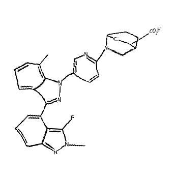 Cc1cccc2c(-c3cccc4nn(C)c(F)c34)nn(-c3ccc(N4CC5CCC4CC5C(=O)O)nc3)c12